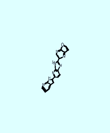 c1cnc2[nH]c(-c3ccc4nc(-c5cnc6occc6n5)[nH]c4n3)cc2c1